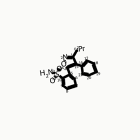 CC(C)c1noc(-c2ccccc2S(N)(=O)=O)c1-c1ccccc1